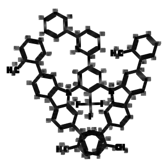 Cc1ccccc1-c1ccc2c3ccc(-c4ccccc4C)cc3n(-c3cc(-c4cccc(-c5ccccc5)n4)cc(-n4c5cc(-c6ccccc6C)ccc5c5ccc(-c6ccccc6C)cc54)c3C(F)(F)F)c2c1